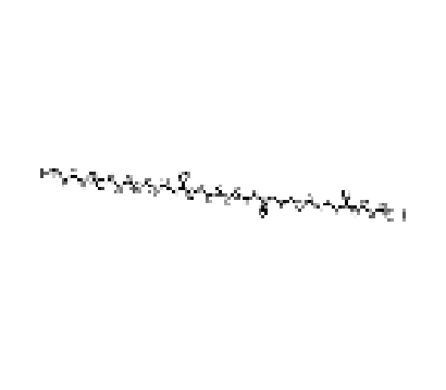 O=C(CCSCSCCC[S+]([O-])CCSCSCCSC(=O)CCSCSCCCOOCCCO)OCCCO